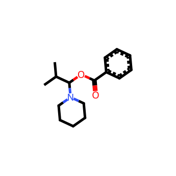 CC(C)C(OC(=O)c1ccccc1)N1CCCCC1